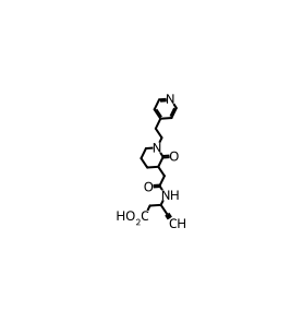 C#CC(CC(=O)O)NC(=O)CC1CCCN(CCc2ccncc2)C1=O